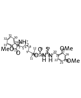 COC(=O)[C@@](N)(CC(C)CCC(C)(C)OC(=O)NC(=S)NCc1ccc(OC)cc1OC)c1ccccc1